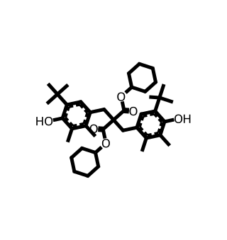 Cc1c(CC(Cc2cc(C(C)(C)C)c(O)c(C)c2C)(C(=O)OC2CCCCC2)C(=O)OC2CCCCC2)cc(C(C)(C)C)c(O)c1C